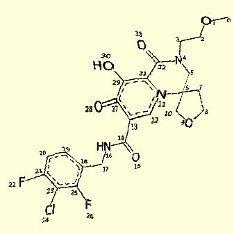 COCCN1CC2(CCOC2)n2cc(C(=O)NCc3ccc(F)c(Cl)c3F)c(=O)c(O)c2C1=O